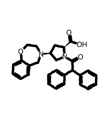 O=C(O)[C@@H]1C[C@H](N2CCOc3ccccc3C2)CN1C(=O)C(c1ccccc1)c1ccccc1